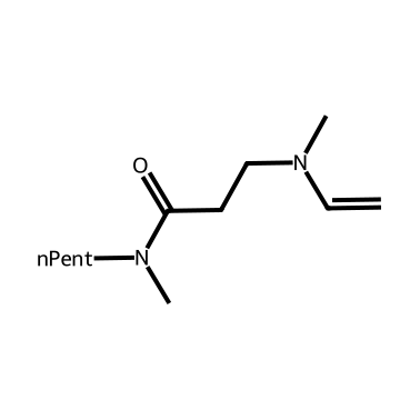 C=CN(C)CCC(=O)N(C)CCCCC